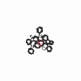 C1=CC2=C(CC1)OC1=C(C=CCC1)C21c2ccccc2-c2ccc(N(c3ccccc3)c3ccc4c(c3)sc3cccc(N(c5ccccc5)c5ccccc5)c34)cc21